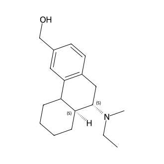 CCN(C)[C@H]1Cc2ccc(CO)cc2C2CCCC[C@@H]21